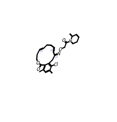 Cc1cc(C)c2c(c1Cl)CC(=N/OCC(=O)N1CCCCC1C)/C=C/CC/C=C/CCOC2=O